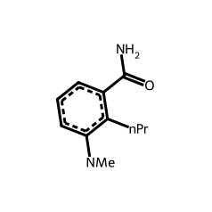 CCCc1c(NC)cccc1C(N)=O